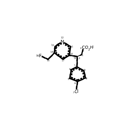 O=C(O)C[C@@H](c1ccc(Cl)cc1)c1cncc(CF)c1